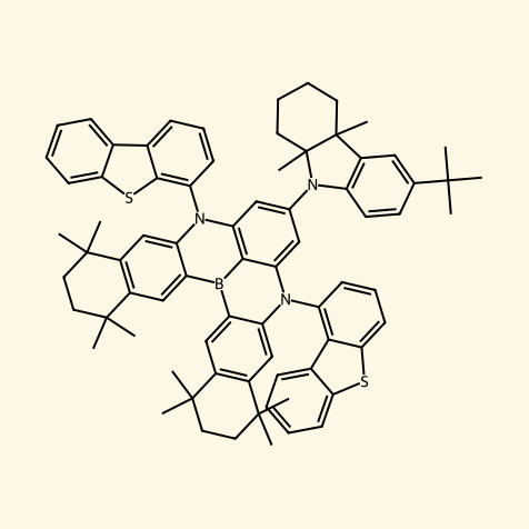 CC(C)(C)c1ccc2c(c1)C1(C)CCCCC1(C)N2c1cc2c3c(c1)N(c1cccc4sc5ccccc5c14)c1cc4c(cc1B3c1cc3c(cc1N2c1cccc2c1sc1ccccc12)C(C)(C)CCC3(C)C)C(C)(C)CCC4(C)C